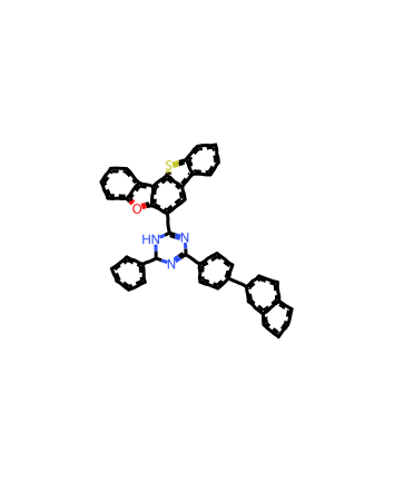 c1ccc(C2N=C(c3ccc(-c4ccc5ccccc5c4)cc3)N=C(c3cc4c5ccccc5sc4c4c3oc3ccccc34)N2)cc1